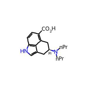 CCCN(CCC)[C@H]1Cc2c[nH]c3ccc(C(=O)O)c(c23)C1